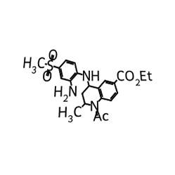 CCOC(=O)c1ccc2c(c1)C(Nc1ccc(S(C)(=O)=O)cc1N)CC(C)N2C(C)=O